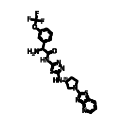 NC(C(=O)Nc1nnc(N[C@@H]2CCN(c3nc4ncccc4s3)C2)s1)c1cccc(OC(F)(F)F)c1